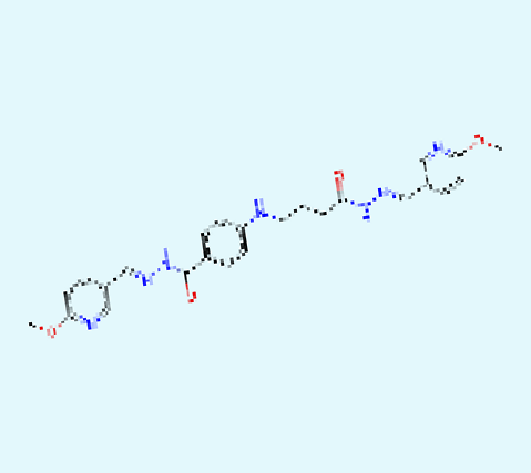 COc1ccc(C=NNC(=O)CCCNc2ccc(C(=O)NN=Cc3ccc(OC)nc3)cc2)cn1